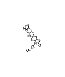 COCC12CC(n3c(=O)n(C)c4cnc(Nc5cn6ncnc6cc5C)nc43)(C1)C2